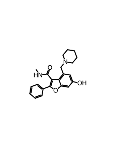 CNC(=O)c1c(-c2ccccc2)oc2cc(O)cc(CN3CCCCC3)c12